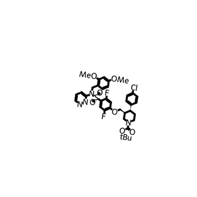 COc1ccc(CN(c2cccnn2)S(=O)(=O)c2cc(F)c(OC[C@@H]3CN(C(=O)OC(C)(C)C)CC[C@H]3c3ccc(Cl)cc3)cc2F)c(OC)c1